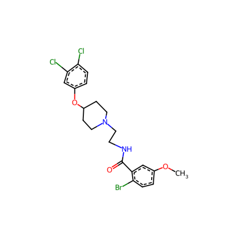 COc1ccc(Br)c(C(=O)NCCN2CCC(Oc3ccc(Cl)c(Cl)c3)CC2)c1